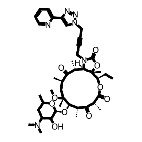 CC[C@H]1OC(=O)[C@H](C)C(=O)[C@H](C)[C@@H](O[C@@H]2OC(C)CC(N(C)C)C2O)[C@](C)(OC)C[C@@H](C)C(=O)[C@H](C)[C@H]2N(CC#CCn3cc(-c4ccccn4)nn3)C(=O)O[C@]12C